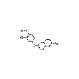 COc1ccc(Oc2ccc3cc(C(C)=O)ccc3c2)cc1Cl